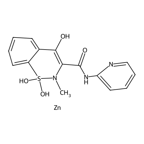 CN1C(C(=O)Nc2ccccn2)=C(O)c2ccccc2S1(O)O.[Zn]